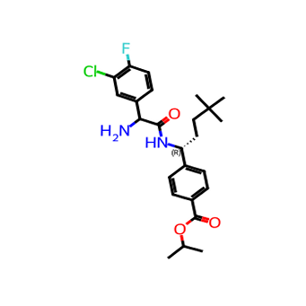 CC(C)OC(=O)c1ccc([C@@H](CCC(C)(C)C)NC(=O)C(N)c2ccc(F)c(Cl)c2)cc1